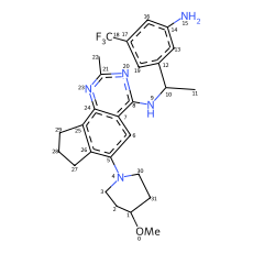 COC1CCN(c2cc3c(NC(C)c4cc(N)cc(C(F)(F)F)c4)nc(C)nc3c3c2CCC3)CC1